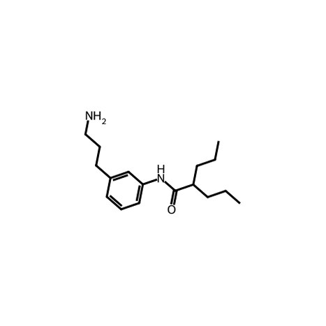 CCCC(CCC)C(=O)Nc1cccc(CCCN)c1